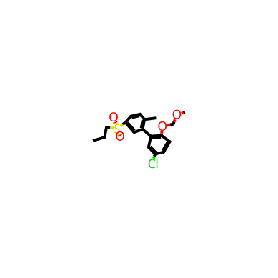 CCCS(=O)(=O)c1ccc(C)c(-c2cc(Cl)ccc2OCOC)c1